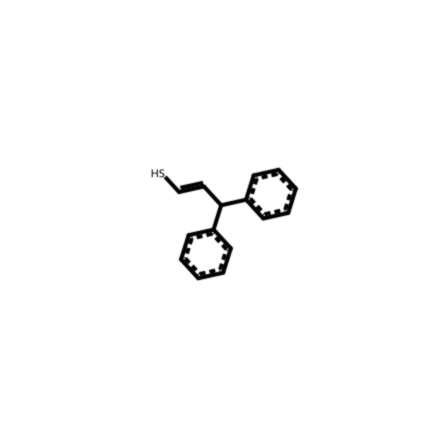 SC=CC(c1ccccc1)c1ccccc1